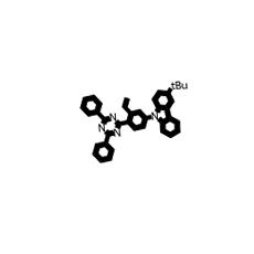 C=Cc1cc(-n2c3ccccc3c3cc(C(C)(C)C)ccc32)ccc1-c1nc(-c2ccccc2)nc(-c2ccccc2)n1